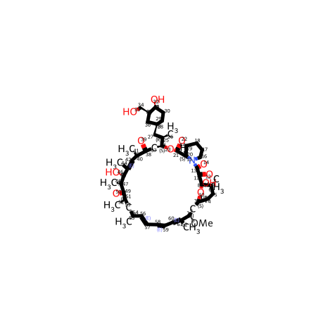 CO[C@H]1C[C@@H]2CC[C@@H](C)[C@@](O)(O2)C(=O)C(=O)N2CCCC[C@H]2C(=O)O[C@H]([C@H](C)C[C@@H]2CC[C@@H](O)[C@H](CO)C2)CC(=O)[C@H](C)/C=C(\C)[C@@H](O)[C@@H](C)C(=O)[C@H](C)C[C@H](C)/C=C/C=C/C=C/1C